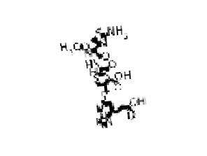 CON=C(C(=O)NC1C(=O)N2C(C(=O)O)=C(CSc3cc(CCC(=O)O)c4nnnn4n3)CS[C@@H]12)c1csc(N)n1